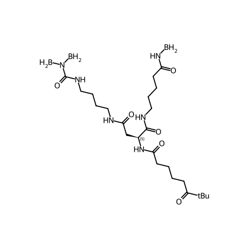 BNC(=O)CCCCNC(=O)[C@H](CC(=O)NCCCCNC(=O)N(B)B)NC(=O)CCCCC(=O)C(C)(C)C